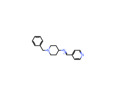 C(=N\C1CCN(Cc2ccccc2)CC1)/c1ccncc1